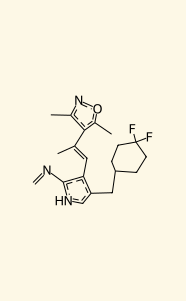 C=Nc1[nH]cc(CC2CCC(F)(F)CC2)c1/C=C(\C)c1c(C)noc1C